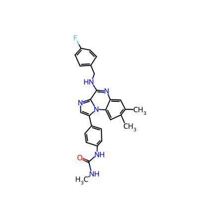 CNC(=O)Nc1ccc(-c2cnc3c(NCc4ccc(F)cc4)nc4cc(C)c(C)cc4n23)cc1